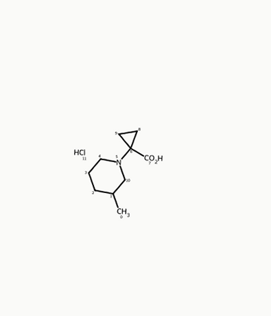 CC1CCCN(C2(C(=O)O)CC2)C1.Cl